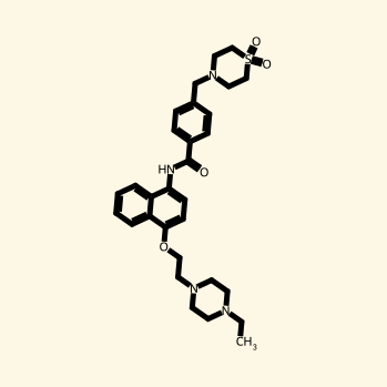 CCN1CCN(CCOc2ccc(NC(=O)c3ccc(CN4CCS(=O)(=O)CC4)cc3)c3ccccc23)CC1